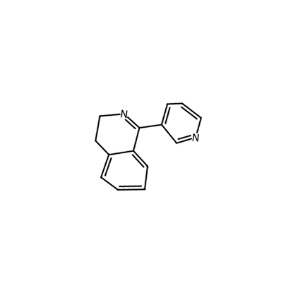 c1cncc(C2=NCCc3ccccc32)c1